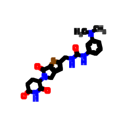 CN(C)c1cccc(NC(=O)NCc2cc3c(s2)C(=O)N(C2CCC(=O)NC2=O)C3)c1